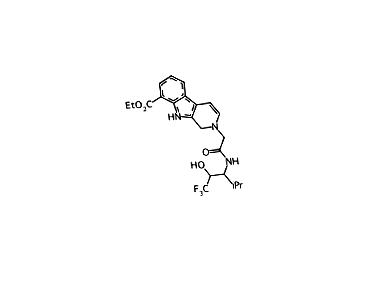 CCOC(=O)c1cccc2c3c([nH]c12)CN(CC(=O)NC(C(C)C)C(O)C(F)(F)F)C=C3